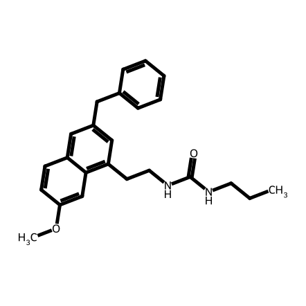 CCCNC(=O)NCCc1cc(Cc2ccccc2)cc2ccc(OC)cc12